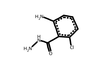 NNC(=O)c1c(N)cccc1Cl